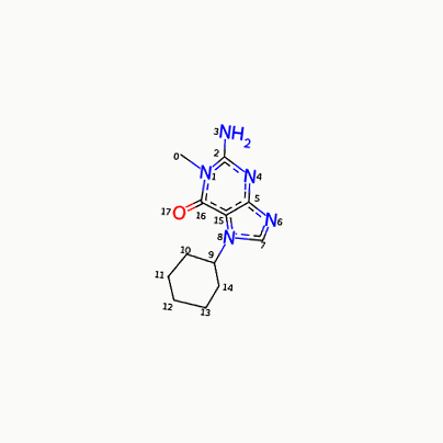 Cn1c(N)nc2ncn(C3CCCCC3)c2c1=O